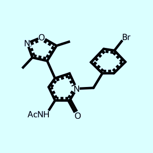 CC(=O)Nc1cc(-c2c(C)noc2C)cn(Cc2ccc(Br)cc2)c1=O